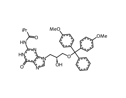 COc1ccc(C(OC[C@@H](O)Cn2cnc3c(=O)[nH]c(NC(=O)C(C)C)nc32)(c2ccccc2)c2ccc(OC)cc2)cc1